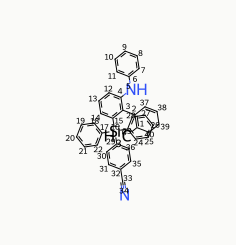 CC1=C(c2c(Nc3ccccc3)cccc2[Si](c2ccccc2)(c2ccccc2)c2ccc(C#N)cc2)C=CCC1